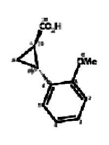 COc1ccccc1[C@@H]1C[C@H]1C(=O)O